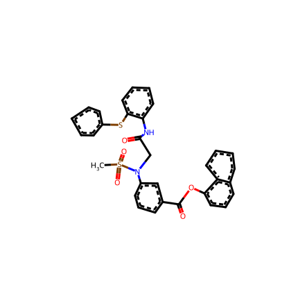 CS(=O)(=O)N(CC(=O)Nc1ccccc1Sc1ccccc1)c1cccc(C(=O)Oc2cccc3ccccc23)c1